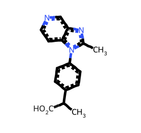 Cc1nc2cnccc2n1-c1ccc(C(C)C(=O)O)cc1